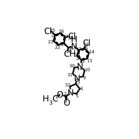 COC(=O)N1CCC(N2CCN(c3ccc(Cl)c(NC(C)c4ccc(Cl)cc4Cl)c3)CC2)C1